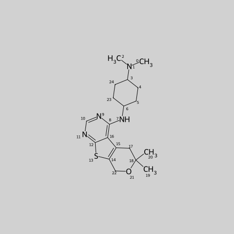 CN(C)C1CCC(Nc2ncnc3sc4c(c23)CC(C)(C)OC4)CC1